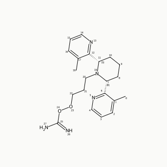 Cc1cccnc1[C@H]1CCC[C@@H](c2ncccc2C)N1CCCOOC(=N)N